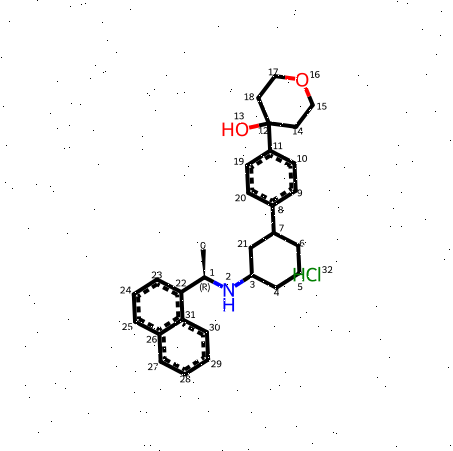 C[C@@H](NC1CCCC(c2ccc(C3(O)CCOCC3)cc2)C1)c1cccc2ccccc12.Cl